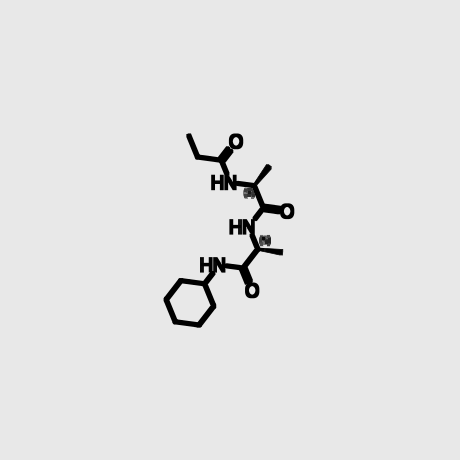 CCC(=O)N[C@@H](C)C(=O)N[C@@H](C)C(=O)NC1CCCCC1